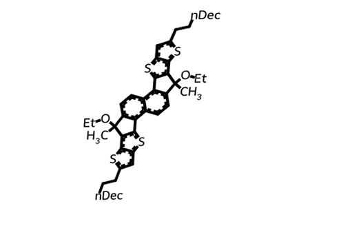 CCCCCCCCCCCCc1cc2sc3c(c2s1)C(C)(OCC)c1ccc2c4c(ccc2c1-3)C(C)(OCC)c1c-4sc2cc(CCCCCCCCCCCC)sc12